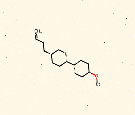 C=CCC[C@H]1CC[C@H]([C@H]2CC[C@H](OCC)CC2)CC1